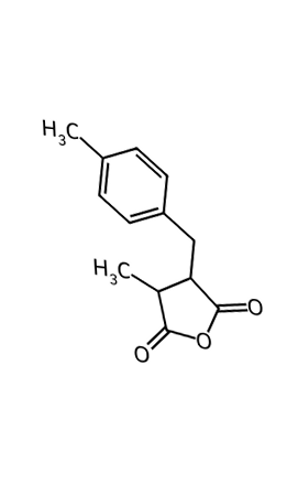 Cc1ccc(CC2C(=O)OC(=O)C2C)cc1